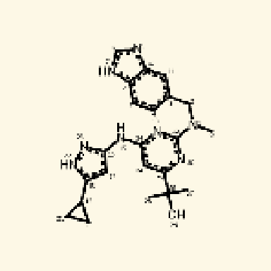 CN(Cc1ccc2[nH]cnc2c1)c1nc(Nc2cc(C3CC3)[nH]n2)cc(C(C)(C)O)n1